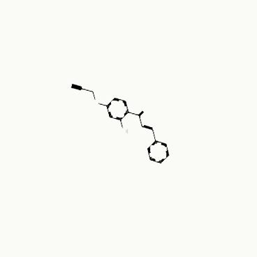 C#CCOc1ccc(C(=O)C=Cc2ccccc2)c(O)c1